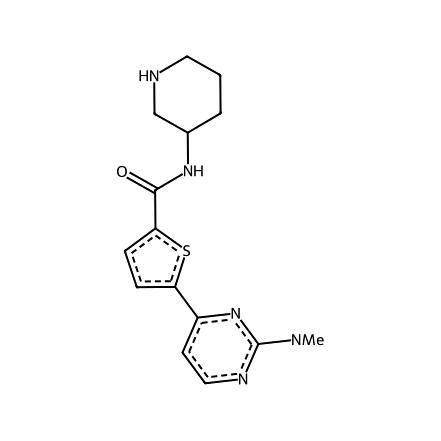 CNc1nccc(-c2ccc(C(=O)NC3CCCNC3)s2)n1